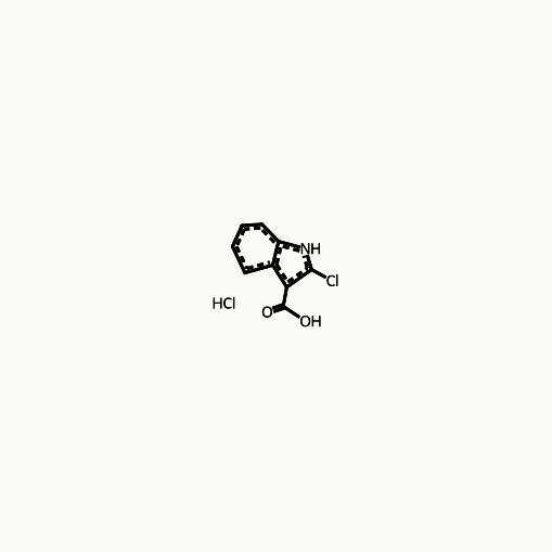 Cl.O=C(O)c1c(Cl)[nH]c2ccccc12